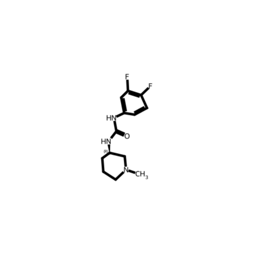 CN1CCC[C@@H](NC(=O)Nc2ccc(F)c(F)c2)C1